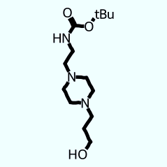 CC(C)(C)OC(=O)NCCN1CCN(CCCO)CC1